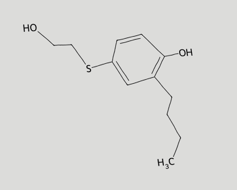 CCCCc1cc(SCCO)ccc1O